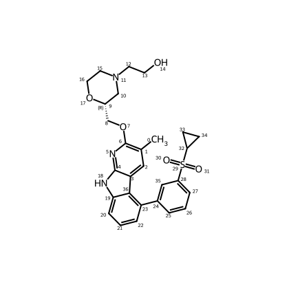 Cc1cc2c(nc1OC[C@H]1CN(CCO)CCO1)[nH]c1cccc(-c3cccc(S(=O)(=O)C4CC4)c3)c12